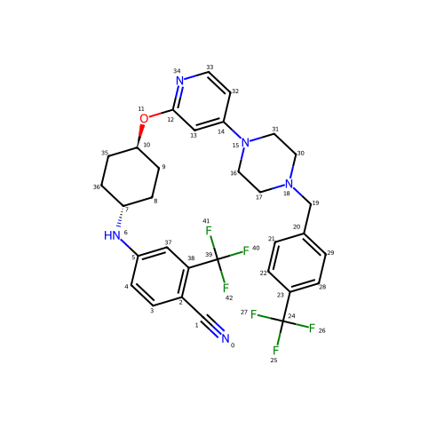 N#Cc1ccc(N[C@H]2CC[C@H](Oc3cc(N4CCN(Cc5ccc(C(F)(F)F)cc5)CC4)ccn3)CC2)cc1C(F)(F)F